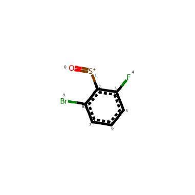 O=[S+]c1c(F)cccc1Br